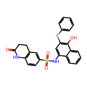 O=C1CCc2cc(S(=O)(=O)Nc3cc(Sc4ccccc4)c(O)c4ccccc34)ccc2N1